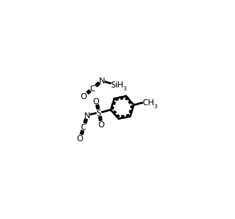 Cc1ccc(S(=O)(=O)N=C=O)cc1.O=C=N[SiH3]